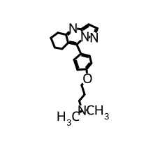 CN(C)CCCOc1ccc(-c2c3c(nc4ccnn24)CCCC3)cc1